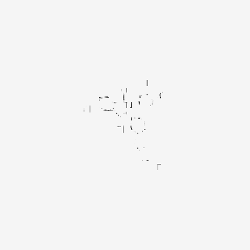 O=c1c2ccc(Cl)cc2nc(-c2cccc(CN3CCC(F)CC3)c2Cl)n1-c1ccc(Cl)c(F)c1